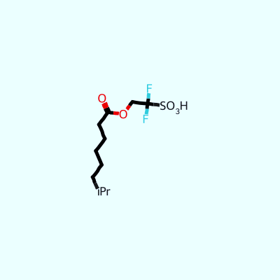 CC(C)CCCCCC(=O)OCC(F)(F)S(=O)(=O)O